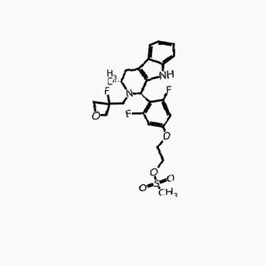 C[C@@H]1Cc2c([nH]c3ccccc23)[C@@H](c2c(F)cc(OCCOS(C)(=O)=O)cc2F)N1CC1(F)COC1